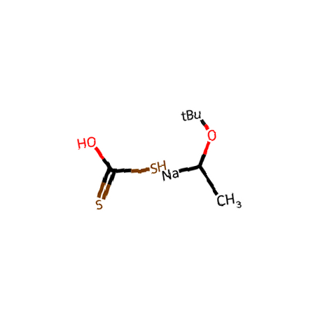 C[CH]([Na])OC(C)(C)C.OC(=S)S